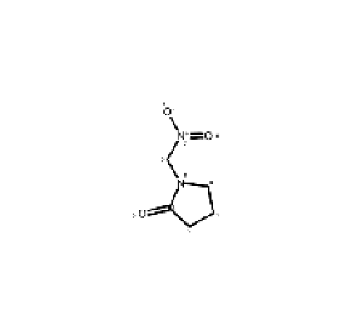 O=C1CCCN1C[N+](=O)[O-]